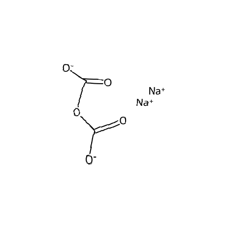 O=C([O-])OC(=O)[O-].[Na+].[Na+]